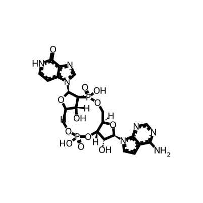 C[C@@]12[C@H](O)[C@@H](COP(=O)(O)O[C@H]3[C@@H](O)[C@H](n4ccc5c(N)ncnc54)O[C@@H]3COP1(=O)O)O[C@H]2n1cnc2c(=O)[nH]ccc21